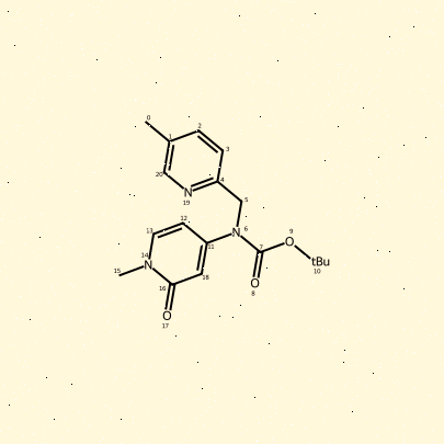 Cc1ccc(CN(C(=O)OC(C)(C)C)c2ccn(C)c(=O)c2)nc1